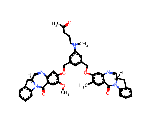 COc1cc2c(cc1OCc1cc(COc3cc4c(cc3C)C(=O)N3c5ccccc5C[C@H]3C=N4)cc(N(C)CCCC(C)=O)c1)N=C[C@@H]1Cc3ccccc3N1C2=O